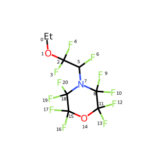 CCOC(F)(F)C(F)N1C(F)(F)C(F)(F)OC(F)(F)C1(F)F